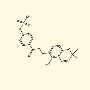 CC1(C)C=Cc2c(ccc(CCC(=O)c3ccc(OS(=O)(=O)O)cc3)c2O)O1